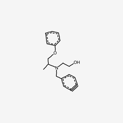 CC(COc1ccccc1)N(CCO)Cc1cc#ccc1